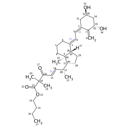 C=C1/C(=C\C=C2/CCC[C@]3(C)[C@@H]([C@H](C)/C=C/C(=O)C(C)(C)C(=O)OCCCC)CC[C@@H]23)C[C@@H](O)C[C@@H]1O